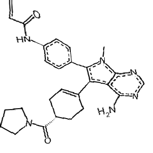 C=CC(=O)Nc1ccc(-c2c(C3=CC[C@@H](C(=O)N4CCCC4)CC3)c3c(N)ncnc3n2C)cc1